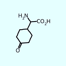 NC(C(=O)O)C1CCC(=O)CC1